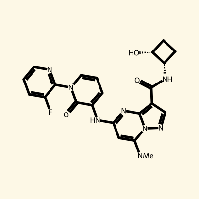 CNc1cc(Nc2cccn(-c3ncccc3F)c2=O)nc2c(C(=O)N[C@H]3CC[C@H]3O)cnn12